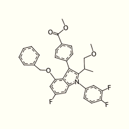 COCC(C)c1c(-c2ccc(C(=O)OC)cc2)c2c(OCc3ccccc3)cc(F)cc2n1-c1ccc(F)c(F)c1